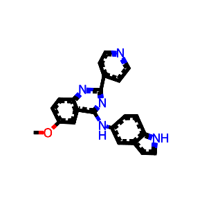 COc1ccc2nc(-c3ccncc3)nc(Nc3ccc4[nH]ccc4c3)c2c1